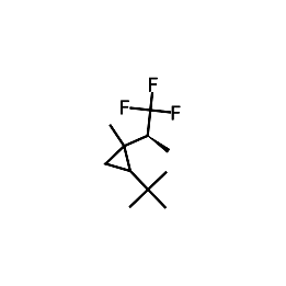 C[C@H](C(F)(F)F)C1(C)CC1C(C)(C)C